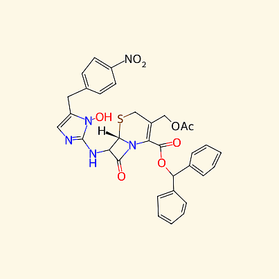 CC(=O)OCC1=C(C(=O)OC(c2ccccc2)c2ccccc2)N2C(=O)C(Nc3ncc(Cc4ccc([N+](=O)[O-])cc4)n3O)[C@@H]2SC1